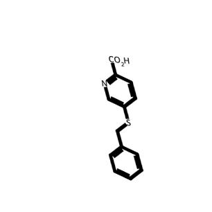 O=C(O)c1ccc(SCc2ccccc2)cn1